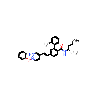 CSCC[C@H](NC(=O)c1ccc(C=CC2=CNN(Oc3ccccc3)C=C2)cc1-c1ccccc1C)C(=O)O